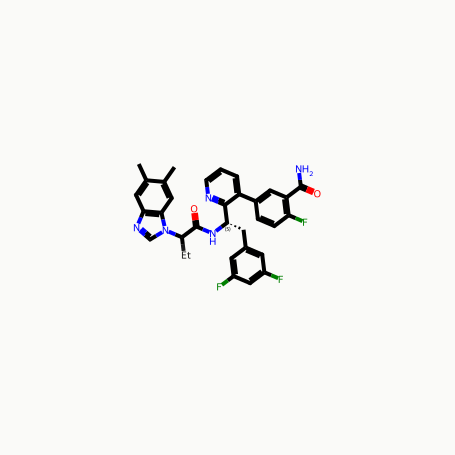 CCC(C(=O)N[C@@H](Cc1cc(F)cc(F)c1)c1ncccc1-c1ccc(F)c(C(N)=O)c1)n1cnc2cc(C)c(C)cc21